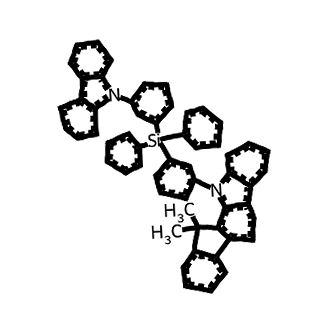 CC1(C)c2ccccc2-c2ccc3c4ccccc4n(-c4cccc([Si](c5ccccc5)(c5ccccc5)c5cccc(-n6c7ccccc7c7ccccc76)c5)c4)c3c21